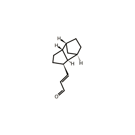 O=CC=C[C@H]1CC[C@@H]2[C@@H]3CC[C@H](C3)[C@H]21